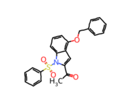 CC(=O)c1cc2c(OCc3ccccc3)cccc2n1S(=O)(=O)c1ccccc1